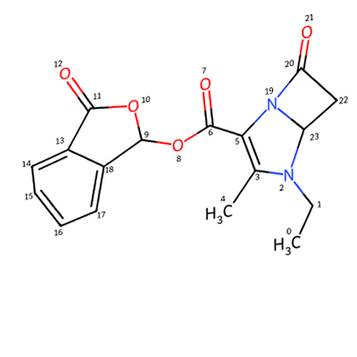 CCN1C(C)=C(C(=O)OC2OC(=O)c3ccccc32)N2C(=O)CC12